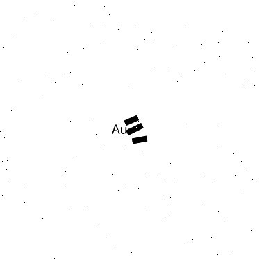 C=C.C=C.C=C.[Au]